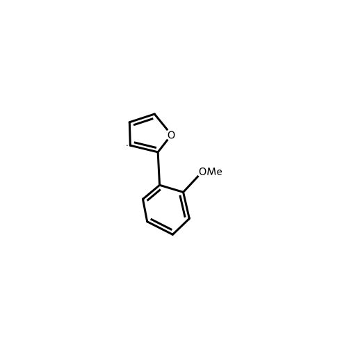 COc1ccccc1-c1[c]cco1